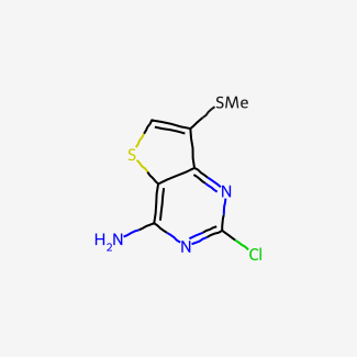 CSc1csc2c(N)nc(Cl)nc12